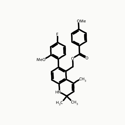 COc1ccc(C(=O)OCc2c(-c3ccc(F)cc3OC)ccc3c2C(C)=CC(C)(C)N3)cc1